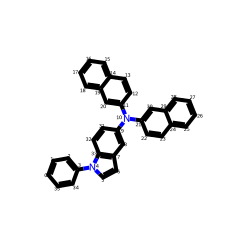 c1ccc(-n2ccc3cc(N(c4ccc5ccccc5c4)c4ccc5ccccc5c4)ccc32)cc1